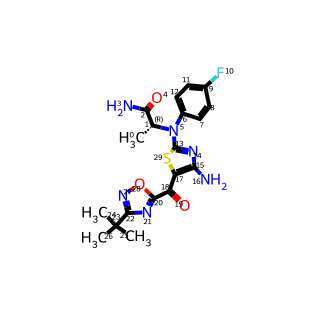 C[C@H](C(N)=O)N(c1ccc(F)cc1)c1nc(N)c(C(=O)c2nc(C(C)(C)C)no2)s1